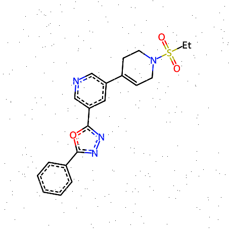 CCS(=O)(=O)N1CC=C(c2cncc(-c3nnc(-c4ccccc4)o3)c2)CC1